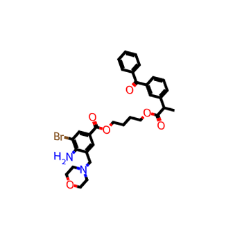 CC(C(=O)OCCCCOC(=O)c1cc(Br)c(N)c(CN2CCOCC2)c1)c1cccc(C(=O)c2ccccc2)c1